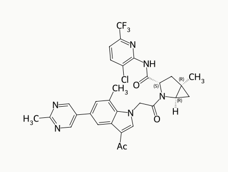 CC(=O)c1cn(CC(=O)N2[C@H](C(=O)Nc3nc(C(F)(F)F)ccc3Cl)C[C@@]3(C)C[C@@H]23)c2c(C)cc(-c3cnc(C)nc3)cc12